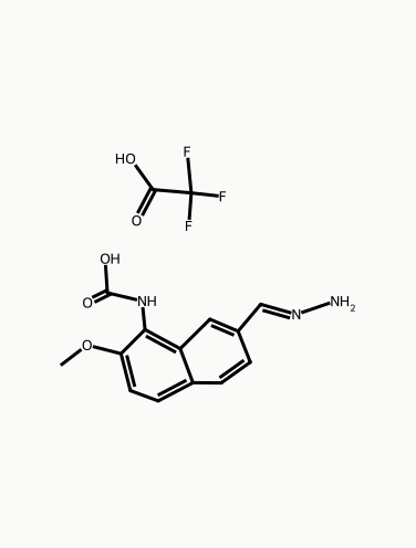 COc1ccc2ccc(C=NN)cc2c1NC(=O)O.O=C(O)C(F)(F)F